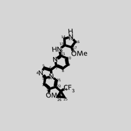 COc1cc2ncc(-c3cccc(NC4CNCC4OC)n3)n2cc1C1(C(F)(F)F)CC1